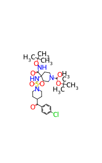 CC(C)(C)ONC(=O)C1(NS(=O)(=O)N2CCC(C(=O)c3ccc(Cl)cc3)CC2)CCN(C(=O)OC(C)(C)C)CC1